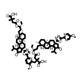 CC[C@H](CC[C@@]1(C)[C@H](C)CC[C@]2(C)[C@@H]1CC[C@@H]1C3=C(C(C)C)C(=O)C[C@]3(c3nnc(-c4ccc(OC)c(CC(C)(CC(=O)O[C@H](CC)CC[C@@]5(C)[C@H](C)CC[C@]6(C)[C@@H]5CC[C@@H]5C7=C(C(C)C)C(=O)C[C@]7(c7nnc(-c8ncc(OC)cn8)o7)CC[C@]56C)C(=O)O)n4)o3)CC[C@]12C)OC(=O)CC(C)(C)C(=O)O